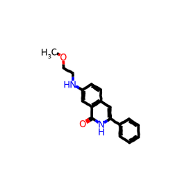 COCCNc1ccc2cc(-c3ccccc3)[nH]c(=O)c2c1